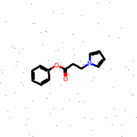 O=C(CCn1cccc1)Oc1ccccc1